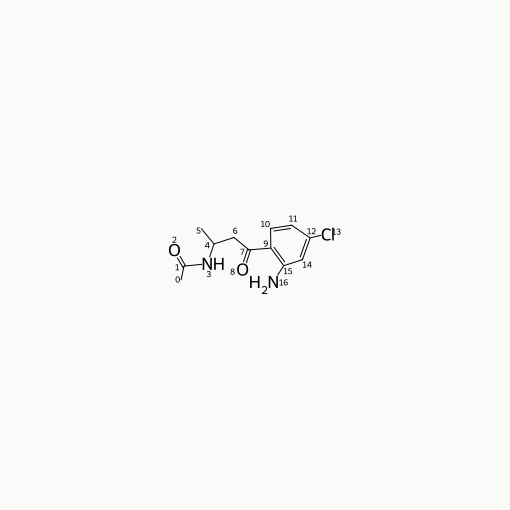 CC(=O)NC(C)CC(=O)c1ccc(Cl)cc1N